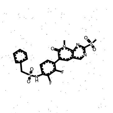 Cn1c(=O)c(-c2ccc(NS(=O)(=O)Cc3ccccc3)c(F)c2F)cc2cnc(S(C)(=O)=O)nc21